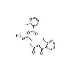 O=C(CC/C(=N/O)OC(=O)c1cccnc1F)OC(=O)c1cccnc1F